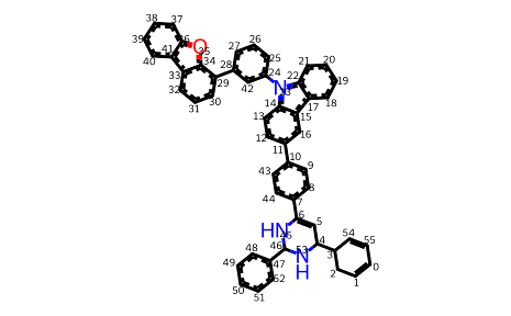 C1=CCC(C2C=C(c3ccc(-c4ccc5c(c4)c4ccccc4n5-c4cccc(-c5cccc6c5oc5ccccc56)c4)cc3)NC(c3ccccc3)N2)C=C1